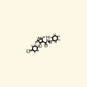 Cc1nn(C)c(Oc2ccc(Cl)cc2)c1C(=O)NOc1ccccc1